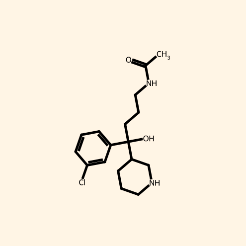 CC(=O)NCCCC(O)(c1cccc(Cl)c1)C1CCCNC1